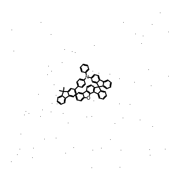 CC1(C)c2ccccc2-c2ccc(-c3ccc(N(c4ccccc4)c4ccc5c(c4)C4(c6ccccc6-5)c5ccccc5-c5c4ccc4c5oc5ccccc54)cc3)cc21